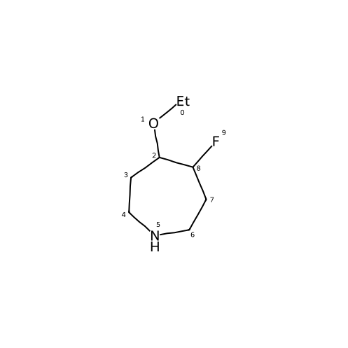 CCOC1CCNCCC1F